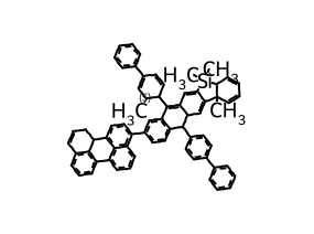 C[C@@H]1C=C(c2ccccc2)C=CC1C1=C2C=C3C(=CC2C(c2ccc(-c4ccccc4)cc2)c2ccc(-c4ccc5c6c(cccc46)-c4cccc6c4C5CC=C6)cc21)C1(C)C=CC=CC1[Si]3(C)C